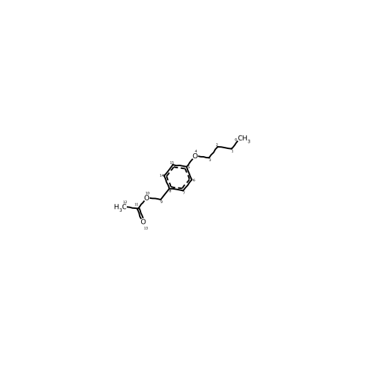 CCCCOc1ccc(COC(C)=O)cc1